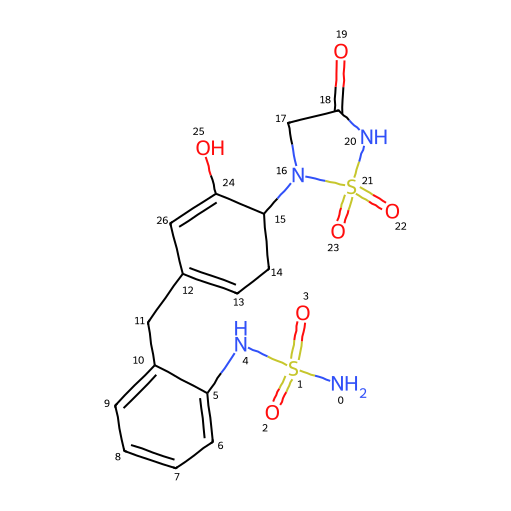 NS(=O)(=O)Nc1ccccc1CC1=CCC(N2CC(=O)NS2(=O)=O)C(O)=C1